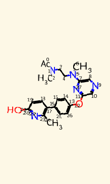 CC(=O)N(C)CCN(C)c1cncc(Oc2ccc(-c3ccc(O)nc3C)cc2)n1